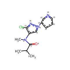 CC(C)C(=O)N(C)c1cn(-c2cccnc2)nc1Cl